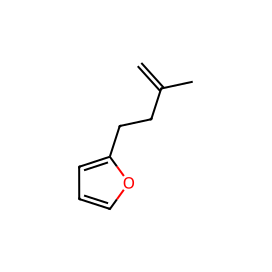 C=C(C)CCc1ccco1